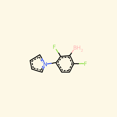 Bc1c(F)ccc(-n2cccc2)c1F